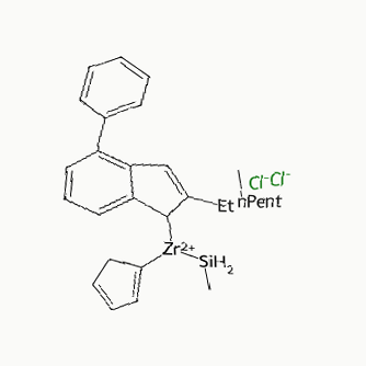 CCC1=Cc2c(-c3ccccc3)cccc2[CH]1[Zr+2]([SiH2]C)[C]1=CC=CC1.CCCCCC.[Cl-].[Cl-]